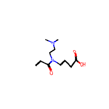 CCC(=O)N(CCCC(=O)O)CCN(C)C